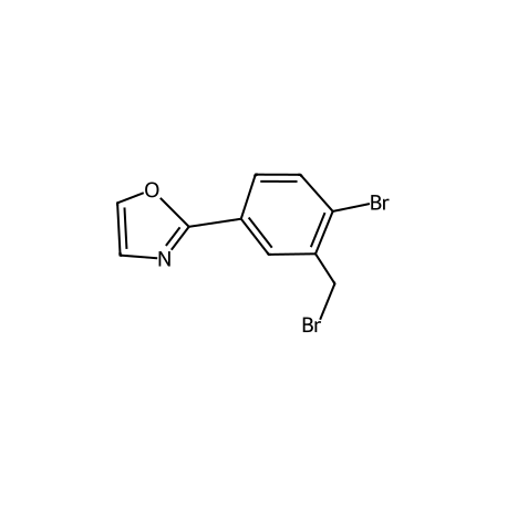 BrCc1cc(-c2ncco2)ccc1Br